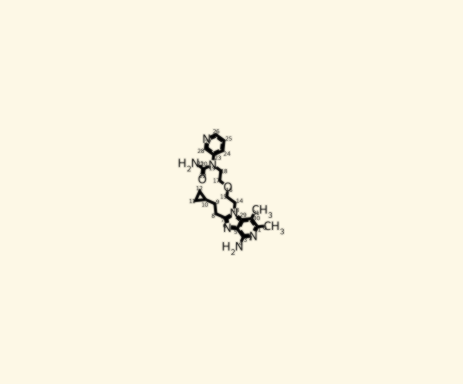 Cc1nc(N)c2nc(CCC3CC3)n(CCOCCN(C(N)=O)c3cccnc3)c2c1C